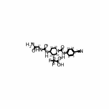 N#Cc1ccc(NC(=O)N2CCC(NC(=O)NCC(N)=O)CC2)cc1.O=C(O)C(F)(F)F